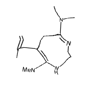 C=C(C)C1=C(NC)NCN=C(N(C)C)C1